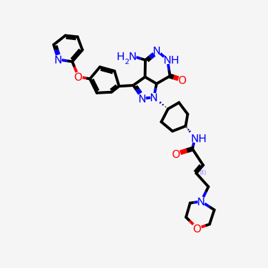 NC1=NNC(=O)C2C1C(c1ccc(Oc3ccccn3)cc1)=NN2[C@H]1CC[C@@H](NC(=O)/C=C/CN2CCOCC2)CC1